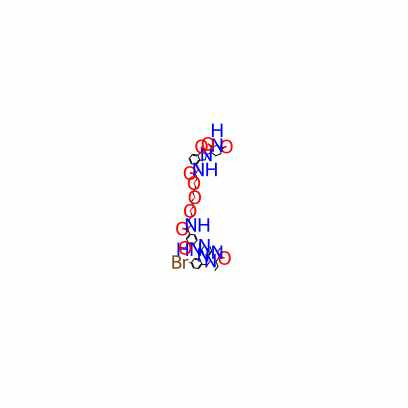 CCC1C(=O)N(C)c2cnc(Nc3ccc(C(=O)NCCOCCOCCOCC(=O)Nc4cccc5c4CN(C4CCC(=O)NC4=O)C5=O)cc3OC)nc2N1Cc1ccc(Br)cc1